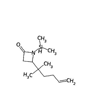 C=CCCC(C)(C)C1CC(=O)N1[SiH](C)C